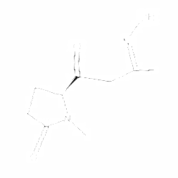 CC(CC(=O)[C@@H]1CCC(=O)N1C)=NO